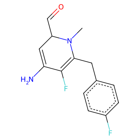 CN1C(Cc2ccc(F)cc2)=C(F)C(N)=CC1C=O